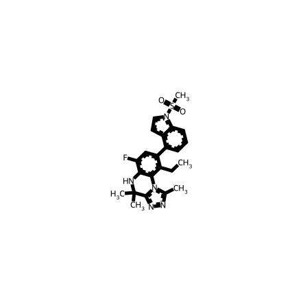 CCc1c(-c2cccc3c2ccn3S(C)(=O)=O)cc(F)c2c1-n1c(C)nnc1C(C)(C)N2